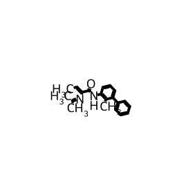 C/C=C(\N=C(C)C)C(=O)Nc1cccc(-c2ccccc2)c1C